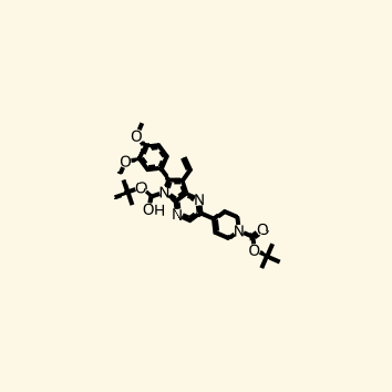 C=Cc1c(-c2ccc(OC)c(OC)c2)n(C(O)OC(C)(C)C)c2ncc(C3=CCN(C(=O)OC(C)(C)C)CC3)nc12